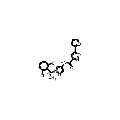 C[C@@H](c1c(Cl)cccc1Cl)n1cc(NC(=O)c2cc(-c3ccco3)on2)cn1